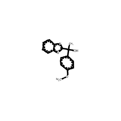 COc1ccc(C(C)(O)c2nc3ccccc3o2)cc1